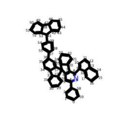 c1ccc(-c2cc3c(c(-c4cccc5ccccc45)n2)-c2ccccc2C32c3ccccc3-c3ccc(-c4ccc(C5c6ccccc6-c6ccccc65)cc4)cc32)cc1